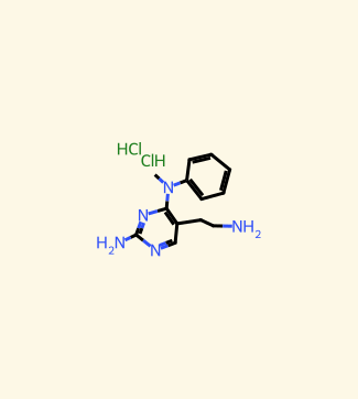 CN(c1ccccc1)c1nc(N)ncc1CCN.Cl.Cl